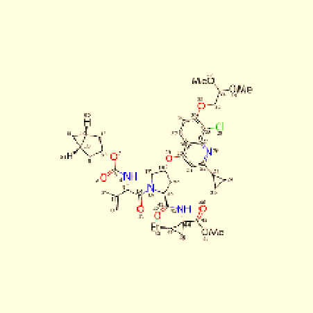 C=C(C)[C@H](NC(=O)O[C@@H]1C[C@@H]2C[C@@H]2C1)C(=O)N1C[C@H](Oc2cc(C3CC3)nc3c(Cl)c(OCC(OC)OC)ccc23)C[C@H]1C(=O)N[C@]1(C(=O)OC)C[C@H]1CC